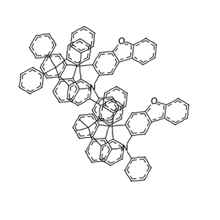 CC1(C)c2cccc(N(c3ccccc3)c3cc4c(cc3C3(c5ccccc5)c5ccccc5-c5ccccc53)oc3ccccc34)c2-c2cccc(-c3ccc4c(c3)C(c3ccccc3)(c3cc5oc6ccccc6c5cc3N(c3ccccc3)c3cccc5c3-c3ccccc3C5(c3ccccc3)c3ccccc3)c3ccccc3-4)c21